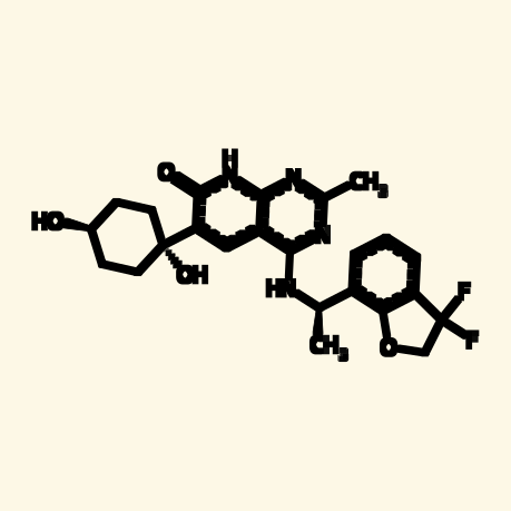 Cc1nc(N[C@H](C)c2cccc3c2OCC3(F)F)c2cc([C@]3(O)CC[C@H](O)CC3)c(=O)[nH]c2n1